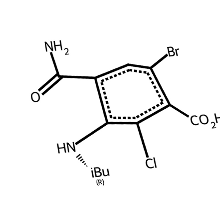 CC[C@@H](C)Nc1c(C(N)=O)cc(Br)c(C(=O)O)c1Cl